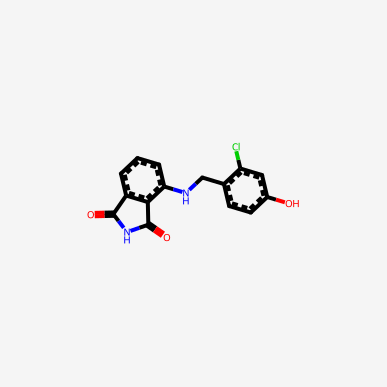 O=C1NC(=O)c2c(NCc3ccc(O)cc3Cl)cccc21